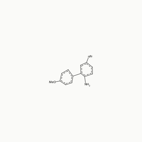 CCCc1ccc(N)c(-c2ccc(OC)cc2)c1